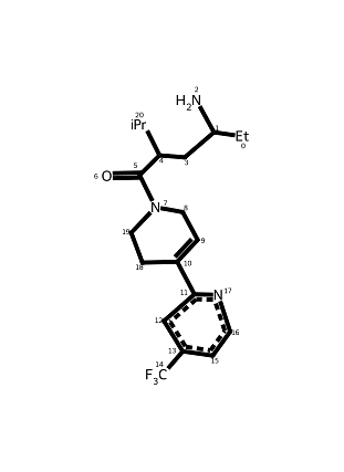 CCC(N)CC(C(=O)N1CC=C(c2cc(C(F)(F)F)ccn2)CC1)C(C)C